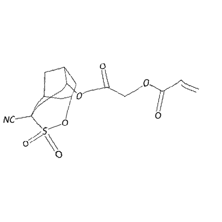 C=CC(=O)OCC(=O)OC1C2CC3OS(=O)(=O)C1(C#N)C3C2